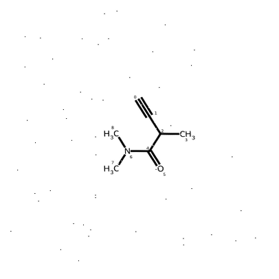 [C]#CC(C)C(=O)N(C)C